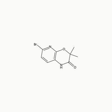 CC1(C)Oc2nc(Br)ccc2NC1=O